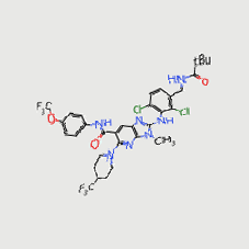 Cn1c(Nc2c(Cl)ccc(CNC(=O)C(C)(C)C)c2Cl)nc2cc(C(=O)Nc3ccc(OC(F)(F)F)cc3)c(N3CCC(C(F)(F)F)CC3)nc21